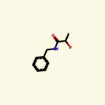 CC([O])C(=O)NCc1ccccc1